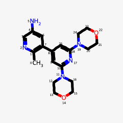 Cc1ncc(N)cc1-c1cc(N2CCOCC2)nc(N2CCOCC2)c1